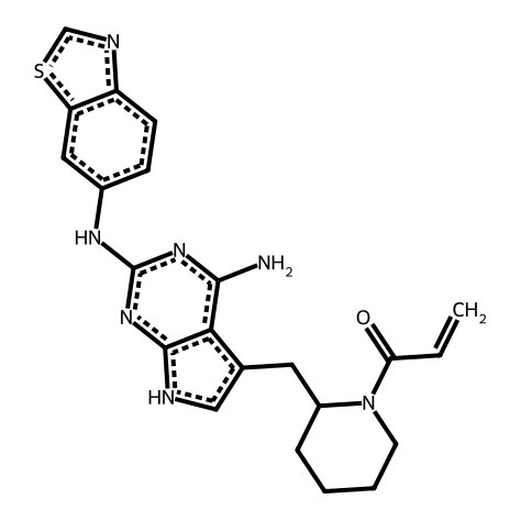 C=CC(=O)N1CCCCC1Cc1c[nH]c2nc(Nc3ccc4ncsc4c3)nc(N)c12